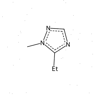 [CH2]Cc1ncnn1C